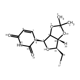 CC1(C)OC2[C@H](n3ccc(=O)[nH]c3=O)O[C@H](CI)[C@H]2O1